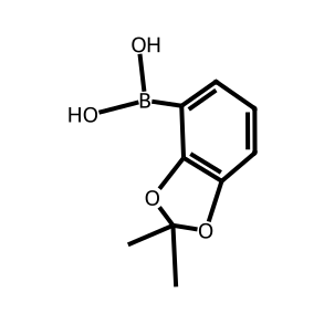 CC1(C)Oc2cccc(B(O)O)c2O1